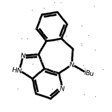 CCC(C)N1Cc2ccccc2-c2n[nH]c3ccnc1c23